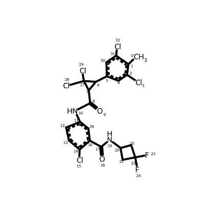 Cc1c(Cl)cc(C2C(C(=O)Nc3ccc(Cl)c(C(=O)NC4CC(F)(F)C4)c3)C2(Cl)Cl)cc1Cl